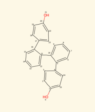 Oc1ccc(-c2ccccc2-c2ccccc2-c2ccc(O)cc2)cc1